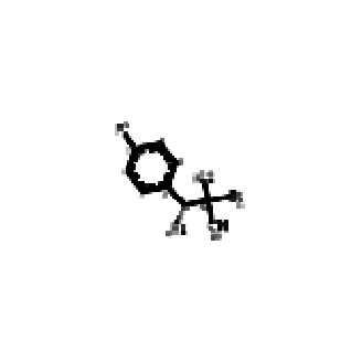 CC[C@H](c1ccc(F)cc1)C(C#N)(CC)CC